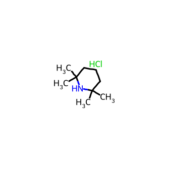 CC1(C)CCCC(C)(C)N1.Cl